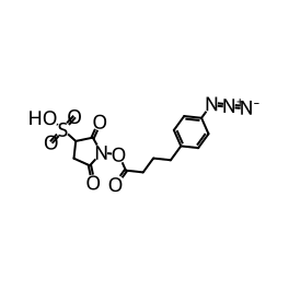 [N-]=[N+]=Nc1ccc(CCCC(=O)ON2C(=O)CC(S(=O)(=O)O)C2=O)cc1